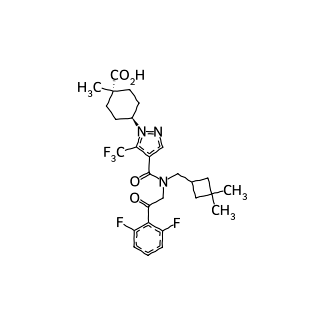 CC1(C)CC(CN(CC(=O)c2c(F)cccc2F)C(=O)c2cnn([C@H]3CC[C@](C)(C(=O)O)CC3)c2C(F)(F)F)C1